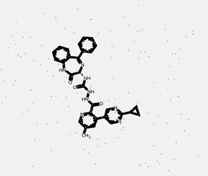 Cc1cnc(C(=O)NNC(=O)N[C@H]2N=C(c3ccccc3)c3ccccc3NC2=O)c(-c2cnc(C3CC3)nc2)c1